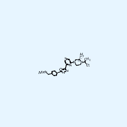 C=C(CC)N1CCN(c2cncc(-c3nnc(-c4ccc(CNC)cc4)o3)n2)C[C@@H]1C